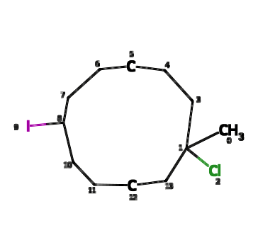 CC1(Cl)CCCCCC(I)CCCC1